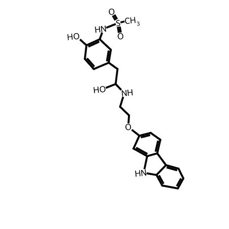 CS(=O)(=O)Nc1cc(CC(O)NCCOc2ccc3c(c2)[nH]c2ccccc23)ccc1O